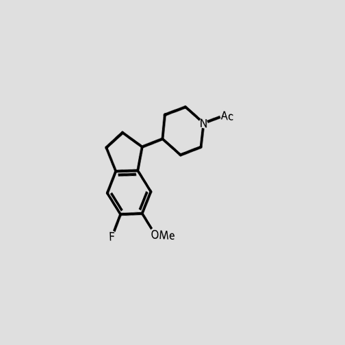 COc1cc2c(cc1F)CCC2C1CCN(C(C)=O)CC1